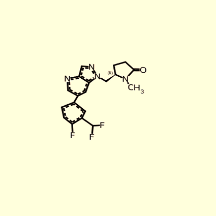 CN1C(=O)CC[C@@H]1Cn1ncc2ncc(-c3ccc(F)c(C(F)F)c3)cc21